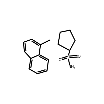 Cc1cccc2ccccc12.NS(=O)(=O)C1CCCC1